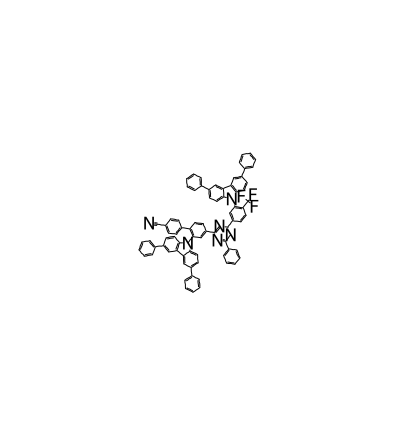 N#Cc1ccc(-c2ccc(-c3nc(-c4ccccc4)nc(-c4ccc(C(F)(F)F)c(-n5c6ccc(-c7ccccc7)cc6c6cc(-c7ccccc7)ccc65)c4)n3)cc2-n2c3ccc(-c4ccccc4)cc3c3cc(-c4ccccc4)ccc32)cc1